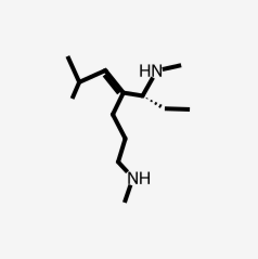 CC[C@@H](NC)/C(=C/C(C)C)CCCNC